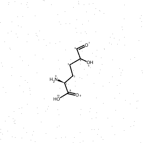 N[C@@H](CCC(O)C=O)C(=O)O